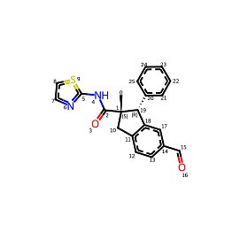 C[C@]1(C(=O)Nc2nccs2)Cc2ccc(C=O)cc2[C@H]1c1ccccc1